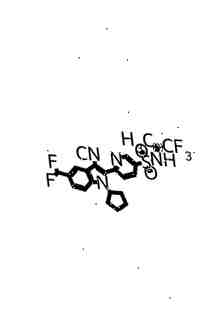 C[C@@H](NS(=O)(=O)c1ccc(-c2c(C#N)c3cc(C(F)F)ccc3n2C2CCCC2)nc1)C(F)(F)F